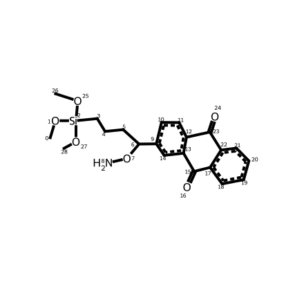 CO[Si](CCCC(ON)c1ccc2c(c1)C(=O)c1ccccc1C2=O)(OC)OC